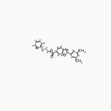 Cc1cc(C)cc(-c2nc3ccc(C(=O)OCCCc4ccccn4)cc3o2)c1